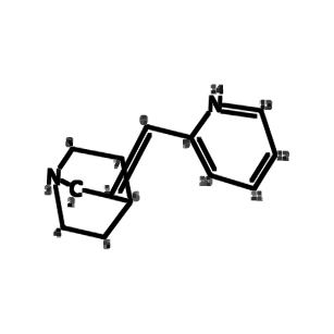 C(=C1CN2CCC1CC2)c1ccccn1